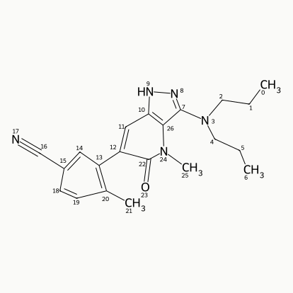 CCCN(CCC)c1n[nH]c2cc(-c3cc(C#N)ccc3C)c(=O)n(C)c12